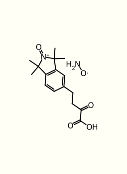 CC1(C)c2ccc(CCC(=O)C(=O)O)cc2C(C)(C)[N+]1=O.N[O]